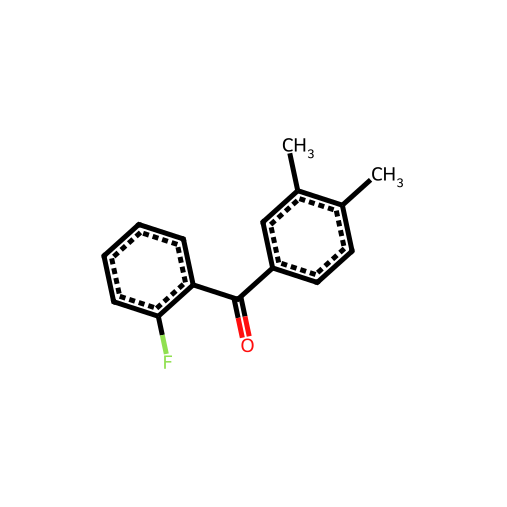 Cc1ccc(C(=O)c2ccccc2F)cc1C